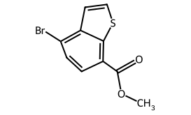 COC(=O)c1ccc(Br)c2ccsc12